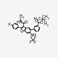 CNC(=O)c1c(-c2ccc(F)cc2)oc2cc(NCC(F)(F)F)c(-c3cccc(C(=O)OC(C)(C)C)c3)cc12